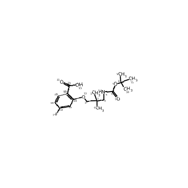 CC(C)(CNC(=O)OC(C)(C)C)COc1cc(F)ccc1C(=O)O